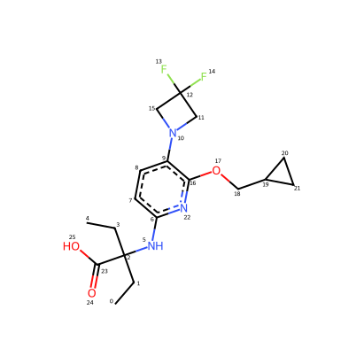 CCC(CC)(Nc1ccc(N2CC(F)(F)C2)c(OCC2CC2)n1)C(=O)O